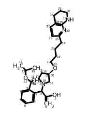 C=C(O)C(c1ccccc1[C@H](C)OC(C)C)N1CC[C@@H](OCCCCc2ccc3c(n2)NCCC3)C1